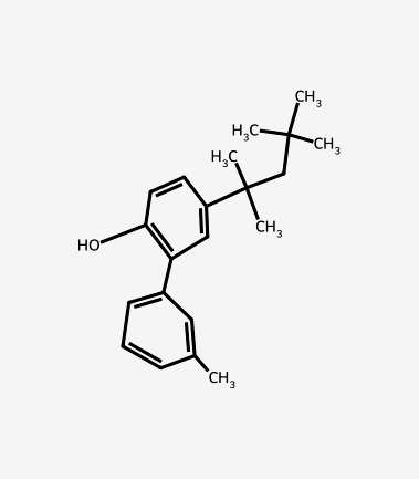 Cc1cccc(-c2cc(C(C)(C)CC(C)(C)C)ccc2O)c1